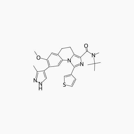 COc1cc2c(cc1-c1c[nH]nc1C)-n1c(-c3ccsc3)nc(C(=O)N(C)C(C)(C)C)c1CC2